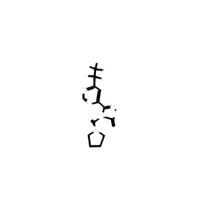 O=C(N1CCCC1)n1c(-c2cc(C(F)(F)C(F)(F)F)ncn2)noc1=O